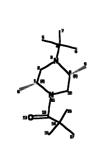 C[C@@H]1CN(C(C)(C)C)[C@H](C)CN1C(=O)C(C)(C)C